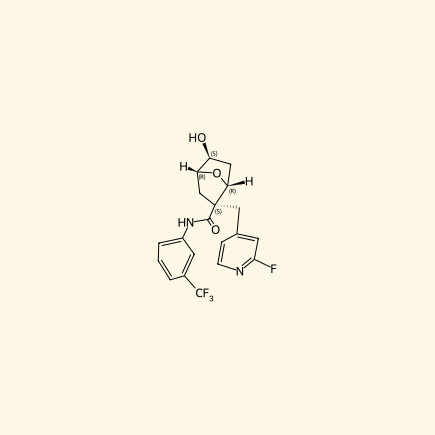 O=C(Nc1cccc(C(F)(F)F)c1)[C@@]1(Cc2ccnc(F)c2)C[C@H]2O[C@@H]1C[C@@H]2O